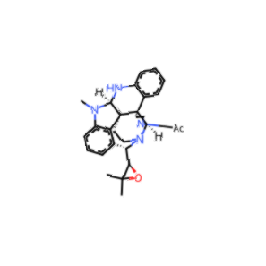 CC(=O)N1CC[C@@]23c4ccccc4N[C@@H]4N(C)c5cccc6c5[C@@]42CCN([C@@H]13)[C@@H]6[C@H]1OC1(C)C